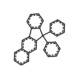 [c]1cccc2cc3c(cc12)C(c1ccccc1)(c1ccccc1)c1ccccc1-3